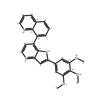 COc1cc(-c2cc3nccc(-c4cccc5cccnc45)c3o2)cc(OC)c1OC